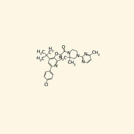 Cc1ccnc(N2CCN(C(=O)c3cc4nc(-c5ccc(Cl)cc5)cc(C(C)(C)C)c4o3)C(C)(C)C2)n1